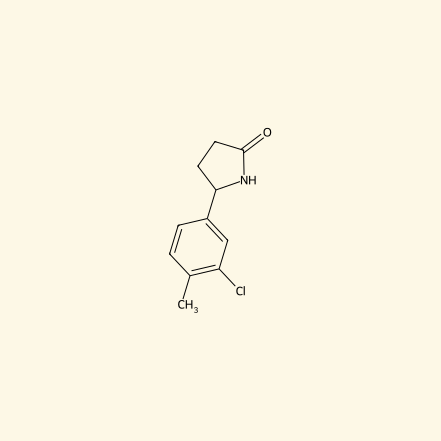 Cc1ccc(C2CCC(=O)N2)cc1Cl